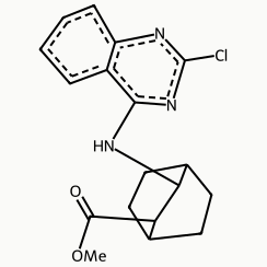 COC(=O)C1C2CCC(CC2)C1Nc1nc(Cl)nc2ccccc12